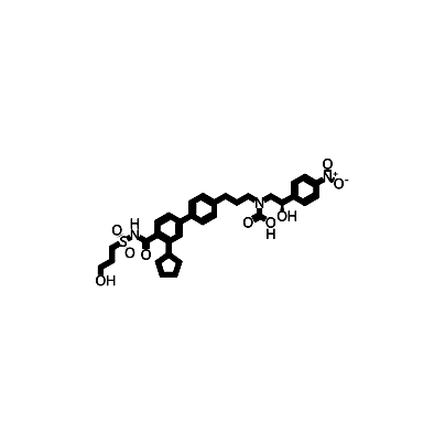 O=C(NS(=O)(=O)CCCO)c1ccc(-c2ccc(CCCN(C[C@H](O)c3ccc([N+](=O)[O-])cc3)C(=O)O)cc2)cc1C1CCCC1